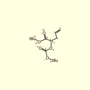 C=CCN(OC(=O)OC(C)(C)C)C(=O)OC(C)(C)C